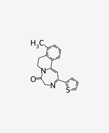 Cc1cccc2c1CCN1C(=O)CN=C(c3cccs3)C=C21